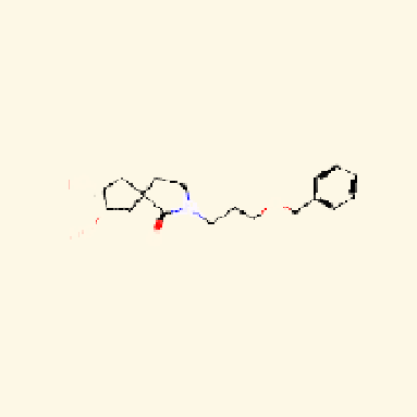 O=C1N(CCCOCc2ccccc2)CCC12C[C@@H](O)[C@H](O)C2